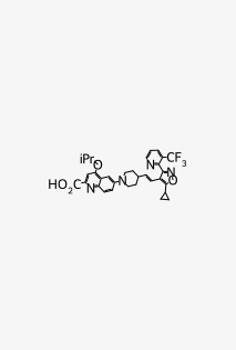 CC(C)Oc1cc(C(=O)O)nc2ccc(N3CCC(/C=C/c4c(-c5ncccc5C(F)(F)F)noc4C4CC4)CC3)cc12